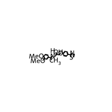 COc1ccc(C(C)NCC(O)COc2ccc(-c3nccs3)cc2)cc1OC